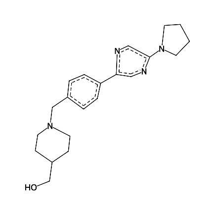 OCC1CCN(Cc2ccc(-c3cnc(N4CCCC4)cn3)cc2)CC1